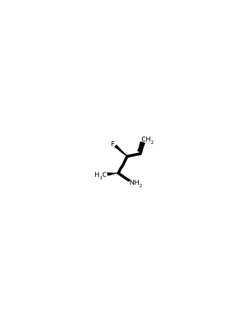 C=C[C@H](F)[C@H](C)N